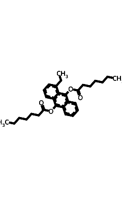 CCCCCCC(=O)Oc1c2ccccc2c(OC(=O)CCCCCC)c2c(CC)cccc12